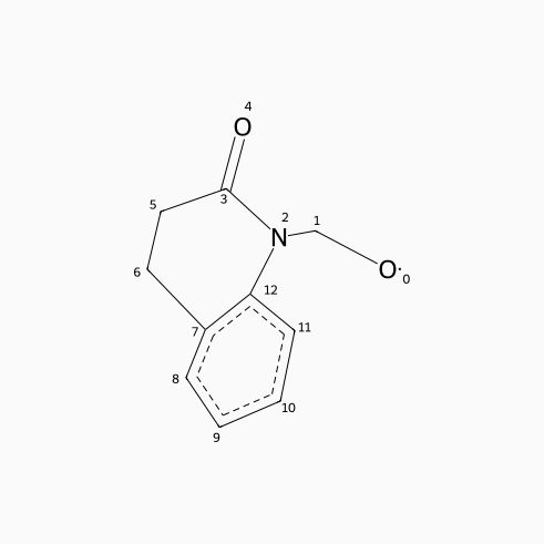 [O]CN1C(=O)CCc2ccccc21